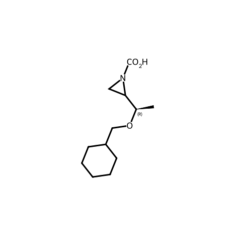 C[C@@H](OCC1CCCCC1)C1CN1C(=O)O